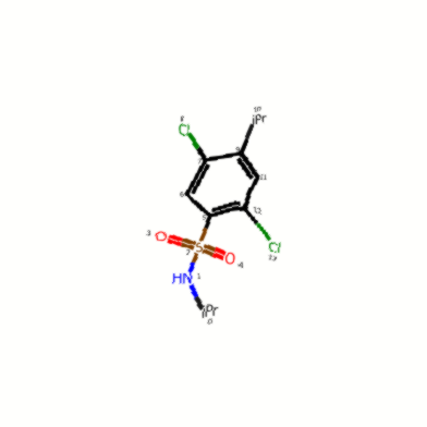 CC(C)NS(=O)(=O)c1cc(Cl)c(C(C)C)cc1Cl